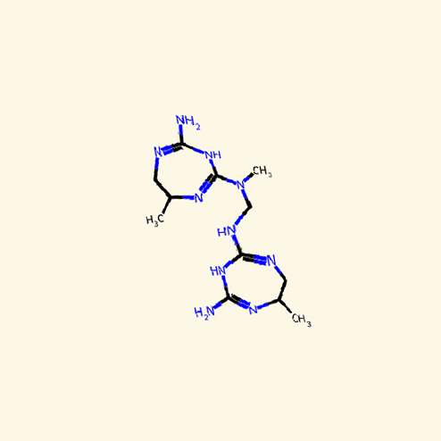 CC1CN=C(NCN(C)C2=NC(C)CN=C(N)N2)NC(N)=N1